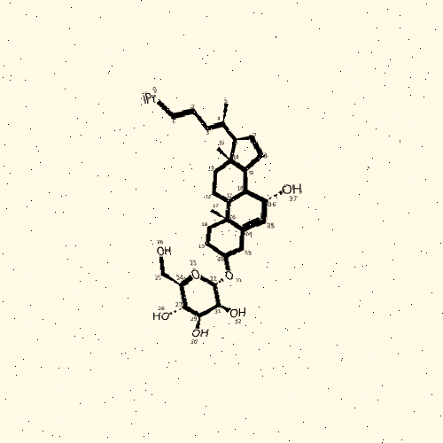 CC(C)CCC[C@@H](C)[C@H]1CCC2C3C(CC[C@@]21C)[C@@]1(C)CCC(O[C@H]2O[C@H](CO)[C@@H](O)[C@H](O)[C@@H]2O)CC1=C[C@H]3O